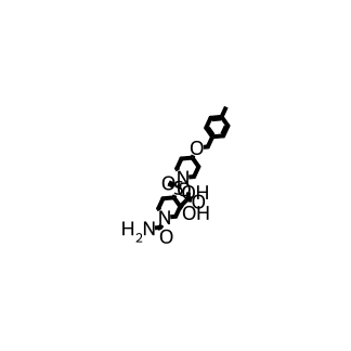 Cc1ccc(COC2CCN(S(=O)(=O)C3CCN(C(N)=O)CC3(O)C(=O)O)CC2)cc1